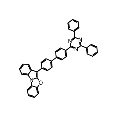 c1ccc(-c2nc(-c3ccccc3)nc(-c3ccc(-c4ccc(-c5c6ccccc6n6c5oc5ccccc56)cc4)cc3)n2)cc1